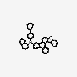 c1ccc(-c2ccc(N(c3ccc4c5ccccc5c5c(ccc6oc7ccccc7c65)c4c3)c3cccc4ccccc34)cc2)cc1